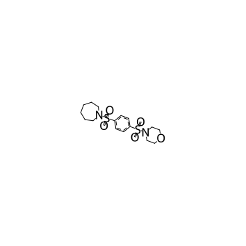 O=S(=O)(c1ccc(S(=O)(=O)N2CCOCC2)cc1)N1CCCCCC1